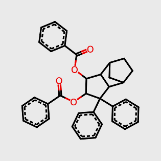 O=C(OC1C2C3CCC(C3)C2C(c2ccccc2)(c2ccccc2)C1OC(=O)c1ccccc1)c1ccccc1